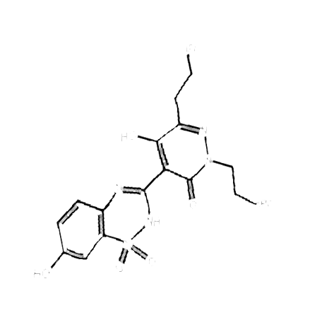 CC(C)CCc1nn(CCC(C)C)c(=O)c(C2=Nc3ccc(O)cc3S(=O)(=O)N2)c1O